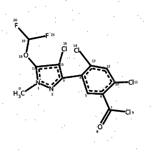 Cn1nc(-c2cc(C(=O)Cl)c(Cl)cc2Cl)c(Cl)c1OC(F)F